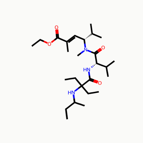 CCOC(=O)/C(C)=C/[C@H](C(C)C)N(C)C(=O)[C@@H](NC(=O)C(CC)(CC)NC(C)CC)C(C)C